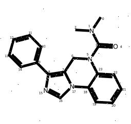 CN(C)C(=O)N1Cc2c(-c3ccccc3)ncn2-c2ccccc21